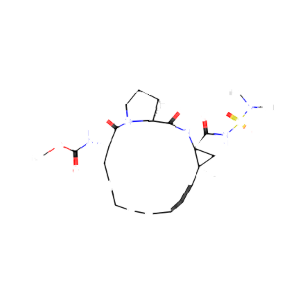 CC(C)N(C)S(=O)(=O)NC(=O)[C@@]12C[C@H]1C=C=CCCCCC[C@H](NC(=O)OC(C)(C)C)C(=O)N1CCC[C@H]1C(=O)N2